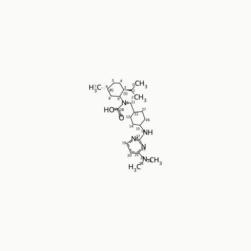 CC(C)[C@@H]1CC[C@@H](C)CC1N(CC1CCC(Nc2nccc(N(C)C)n2)CC1)C(=O)O